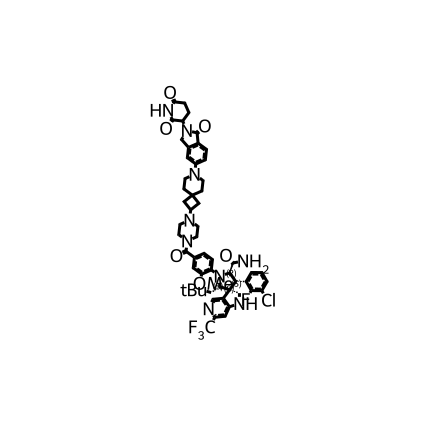 COc1cc(C(=O)N2CCN(C3CC4(CCN(c5ccc6c(c5)CN(C5CCC(=O)NC5=O)C6=O)CC4)C3)CC2)ccc1N1[C@@H](CC(C)(C)C)[C@@]2(CNc3cc(C(F)(F)F)ncc32)[C@@H](c2cccc(Cl)c2F)[C@@H]1C(N)=O